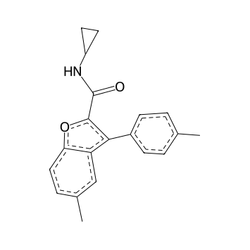 Cc1ccc(-c2c(C(=O)NC3CC3)oc3ccc(C)cc23)cc1